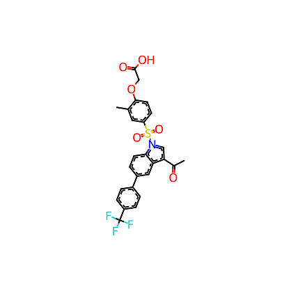 CC(=O)c1cn(S(=O)(=O)c2ccc(OCC(=O)O)c(C)c2)c2ccc(-c3ccc(C(F)(F)F)cc3)cc12